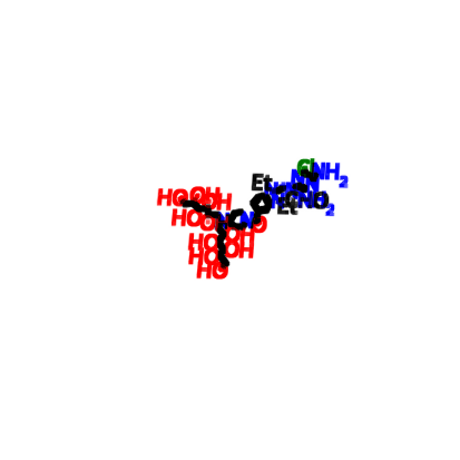 CCn1c(CN(C=O)c2nc(Cl)c(N)nc2N)[n+](CC)c2ccc(C(=O)N3CCC(N(C[C@H](O)[C@@H](O)[C@H](O)[C@H](O)CO)C[C@H](O)[C@@H](O)[C@H](O)[C@H](O)CO)CC3)cc21